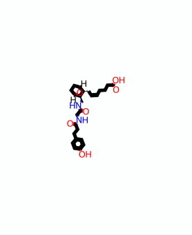 O=C(O)CCC/C=C\C[C@@H]1[C@@H](CNC(=O)CNC(=O)CCc2ccc(O)cc2)[C@H]2CC[C@H]1O2